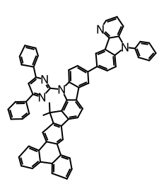 CC1(C)c2cc3c4ccccc4c4ccccc4c3cc2-c2ccc3c4cc(-c5ccc6c(c5)c5ncccc5n6-c5ccccc5)ccc4n(-c4nc(-c5ccccc5)cc(-c5ccccc5)n4)c3c21